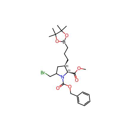 COC(=O)[C@@H]1[C@H](CCCB2OC(C)(C)C(C)(C)O2)CC(CBr)N1C(=O)OCc1ccccc1